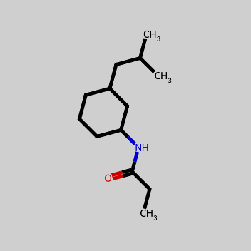 CCC(=O)NC1CCCC(CC(C)C)C1